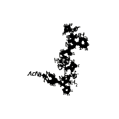 CC(=O)Nc1ncc(-c2cc(-c3ccccc3)c3c(N)c([S+]([O-])C4CCC4CS(=O)(=O)Nc4ncc(-c5cc(-c6ccccc6)c6c(N)c([S+]([O-])C7CCC7)sc6n5)cn4)sc3n2)cn1